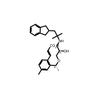 Cc1ccc(C=CC(=O)O)c([C@@H](C)OC[C@H](O)CNC(C)(C)CC2Cc3ccccc3C2)c1